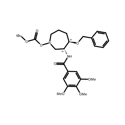 COc1cc(C(=O)N[C@@H]2CN(OC(=O)OC(C)(C)C)CCC[C@H]2OCc2ccccc2)cc(OC)c1OC